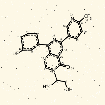 CC(CO)n1cnc2c(-c3cccc(F)c3)nc(-c3ccc(C(F)(F)F)nc3)cc2c1=O